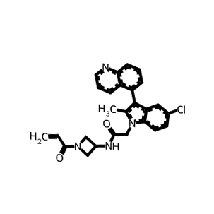 C=CC(=O)N1CC(NC(=O)Cn2c(C)c(-c3cccc4ncccc34)c3cc(Cl)ccc32)C1